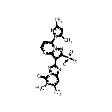 CCS(=O)(=O)c1nn2c(-n3nc(C(F)(F)F)cc3C)ccnc2c1-c1nc2cc(C(F)(F)F)n(C)c(=O)n2n1